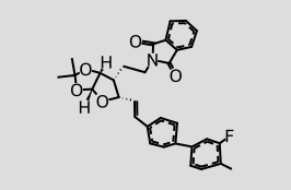 Cc1ccc(-c2ccc(C=C[C@@H]3O[C@@H]4OC(C)(C)O[C@@H]4[C@@H]3CCN3C(=O)c4ccccc4C3=O)cc2)cc1F